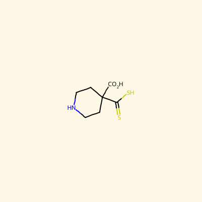 O=C(O)C1(C(=S)S)CCNCC1